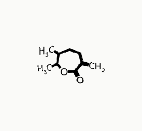 C=C1CCC(C)C(C)OC1=O